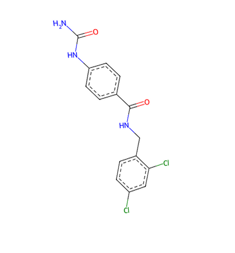 NC(=O)Nc1ccc(C(=O)NCc2ccc(Cl)cc2Cl)cc1